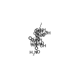 CCCCC[C@H](N)C(=O)N[C@@H](C(=O)O)C(=O)N[C@@H](Cc1ccc(O)cc1)C(=O)N[C@@H](Cc1c[nH]c2ccccc12)C(=O)N[C@@H](CCC(=O)O)C(=O)NNc1ccc(C(N)=O)cc1